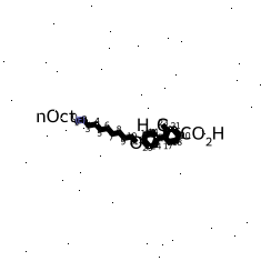 CCCCCCCC/C=C/CCCCCCCCOc1ccc(-c2ccc(C(=O)O)cc2C)cc1